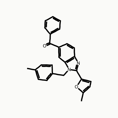 Cc1ccc(Cn2c(-c3ccc(C)o3)nc3ccc(C(=O)c4ccccc4)cc32)cc1